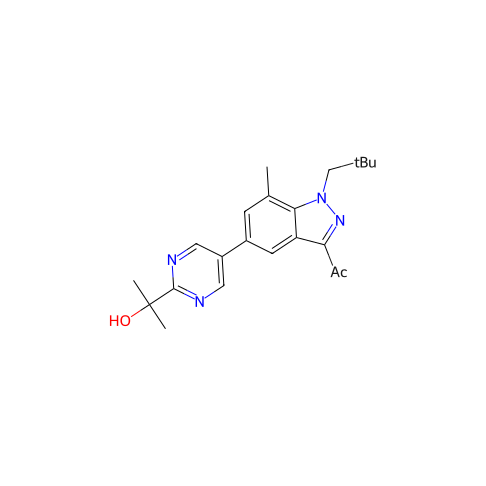 CC(=O)c1nn(CC(C)(C)C)c2c(C)cc(-c3cnc(C(C)(C)O)nc3)cc12